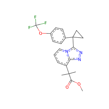 COC(=O)C(C)(C)c1cccn2c(C3(c4ccc(OC(F)(F)F)cc4)CC3)nnc12